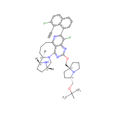 C#Cc1c(F)ccc2cccc(-c3nc4c5c(nc(OC[C@@]67CCCN6[C@H](COC(C)(C(F)(F)F)C(F)(F)F)CC7)nc5c3F)N3C[C@@H]5CC[C@@H](N5)[C@H]3CCC4)c12